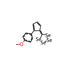 COc1ccc(C2=CC=CC2=C2[Se][Se][Se][Se]2)cc1